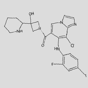 O=C(c1cn2ccnc2c(Cl)c1Nc1ccc(I)cc1F)N1CC(O)(C2CCCCN2)C1